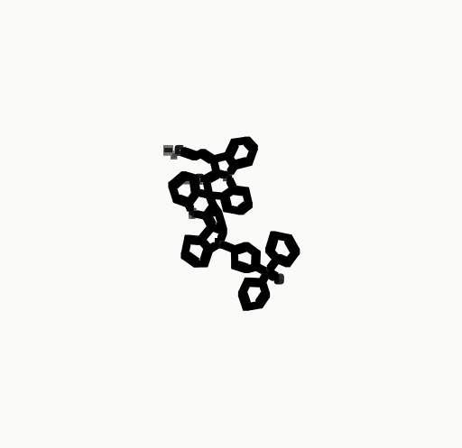 C=C/C=c1\c2n(c3ccccc13)-c1ccccc1C1(C=2C)c2ccccc2Sc2c1ccc1c2c2ccccc2n1-c1ccc(P(=O)(c2ccccc2)c2ccccc2)cc1